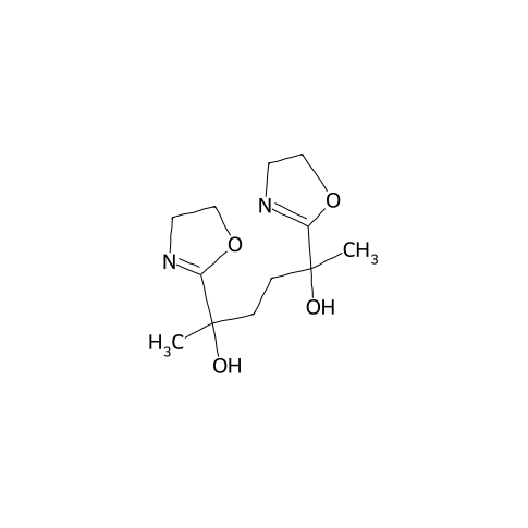 CC(O)(CCC(C)(O)C1=NCCO1)C1=NCCO1